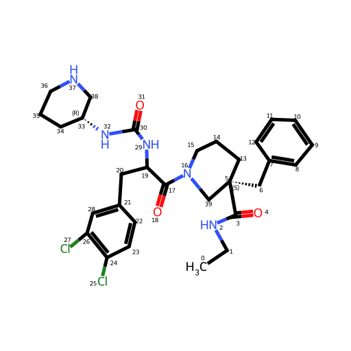 CCNC(=O)[C@]1(Cc2ccccc2)CCCN(C(=O)C(Cc2ccc(Cl)c(Cl)c2)NC(=O)N[C@@H]2CCCNC2)C1